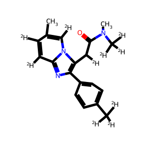 [2H]c1c(C)c([2H])n2c(C([2H])C(=O)N(C)C([2H])([2H])[2H])c(-c3ccc(C([2H])([2H])[2H])cc3)nc2c1[2H]